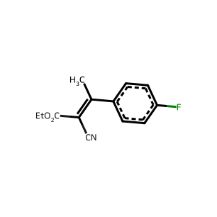 CCOC(=O)C(C#N)=C(C)c1ccc(F)cc1